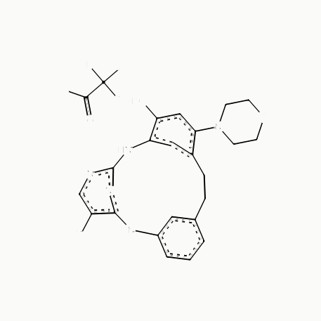 Cc1cc(N2CCOCC2)c2cc1Nc1ncc(Cl)c(n1)Nc1cccc(c1)CC2.O=C(O)C(F)(F)F